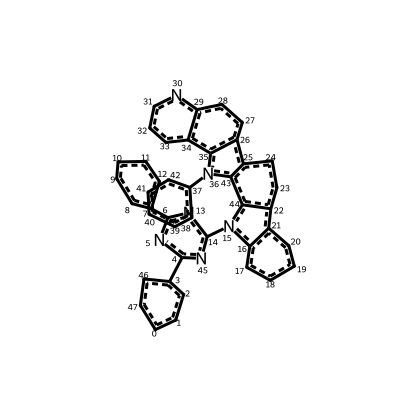 c1ccc(-c2nc(-c3ccccc3)nc(-n3c4ccccc4c4ccc5c6ccc7ncccc7c6n(-c6ccccc6)c5c43)n2)cc1